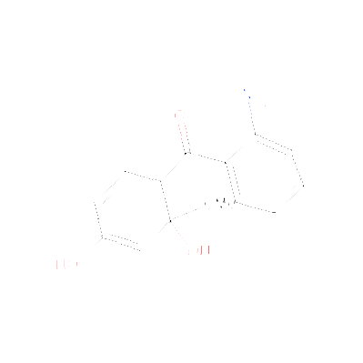 COC1(O)C=C(O)C=CC1C(=O)c1ccccc1N